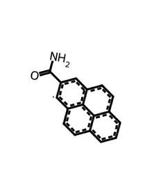 NC(=O)c1[c]c2ccc3cccc4ccc(c1)c2c34